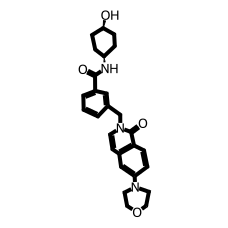 O=C(N[C@H]1CC[C@H](O)CC1)c1cccc(Cn2ccc3cc(N4CCOCC4)ccc3c2=O)c1